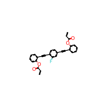 C=CC(=O)Oc1ccccc1C#Cc1ccc(C#Cc2ccccc2OC(=O)C=C)c(F)c1